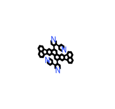 c1cc2c3c(cccc3c1)-c1cc3c(cc1-2)c(-c1ccncc1-c1ccncc1)cc1c2cc4c(cc2c(-c2ccncc2-c2ccncc2)cc31)-c1cccc2cccc-4c12